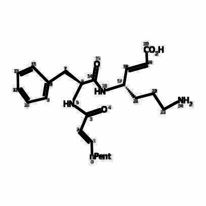 CCCCC/C=C/C(=O)N[C@@H](Cc1ccccc1)C(=O)N[C@H](/C=C/C(=O)O)CCCN